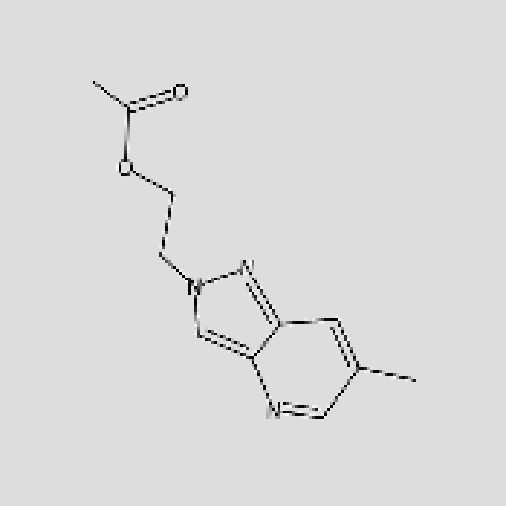 CC(=O)OCCn1cc2ncc(C)cc2n1